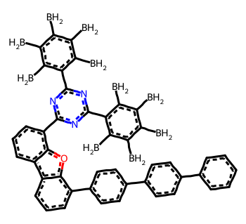 Bc1c(B)c(B)c(-c2nc(-c3c(B)c(B)c(B)c(B)c3B)nc(-c3cccc4c3oc3c(-c5ccc(-c6ccc(-c7ccccc7)cc6)cc5)cccc34)n2)c(B)c1B